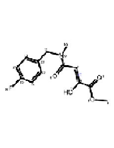 COC(=O)/C(O)=C/C(=O)N(C)Cc1ccc(F)cc1